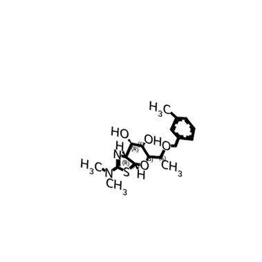 Cc1cccc(CO[C@@H](C)[C@H]2O[C@@H]3SC(N(C)C)=N[C@@H]3[C@@H](O)[C@@H]2O)c1